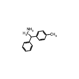 Cc1ccc(C(C)c2ccccc2)cc1.N